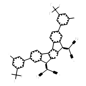 N#CC(C#N)=C1c2cc(-c3cc(F)cc(C(F)(F)F)c3)ccc2-c2c1sc1c2-c2ccc(-c3cc(F)cc(C(F)(F)F)c3)cc2C1=C(C#N)C#N